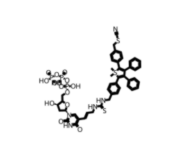 CS1(C)C(c2ccc(CNC(=S)NC/C=C/c3cn([C@H]4C[C@@H](O)C(COP(=O)(O)OP(=O)(O)OP(=O)(O)O)O4)c(=O)[nH]c3=O)cc2)=C(c2ccccc2)C(c2ccccc2)=C1c1ccc(CSC#N)cc1